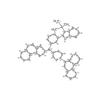 CC(C)(C)c1c(-c2cccc(N(c3ccc(-c4cc5ccccc5c5ccccc45)cc3)c3ccc4c(ccc5ccccc54)c3)c2)oc2ccccc12